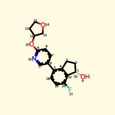 O[C@H]1CCc2c(-c3ccc(OC4CCOC4)nc3)ccc(F)c21